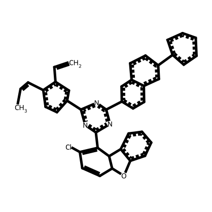 C=Cc1cc(-c2nc(C3=C(Cl)C=CC4Oc5ccccc5C34)nc(-c3ccc4cc(-c5ccccc5)ccc4c3)n2)ccc1/C=C\C